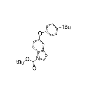 CC(C)(C)OC(=O)n1ccc2cc(Oc3ccc(C(C)(C)C)cc3)ccc21